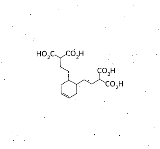 O=C(O)C(CCC1CC=CCC1CCC(C(=O)O)C(=O)O)C(=O)O